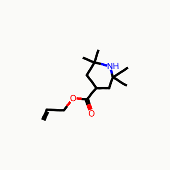 C=CCOC(=O)C1CC(C)(C)NC(C)(C)C1